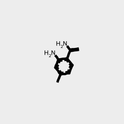 C=C(N)c1ccc(C)cc1N